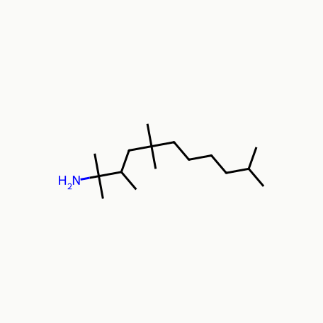 CC(C)CCCCC(C)(C)CC(C)C(C)(C)N